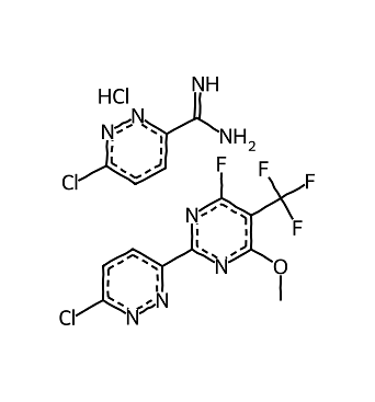 COc1nc(-c2ccc(Cl)nn2)nc(F)c1C(F)(F)F.Cl.N=C(N)c1ccc(Cl)nn1